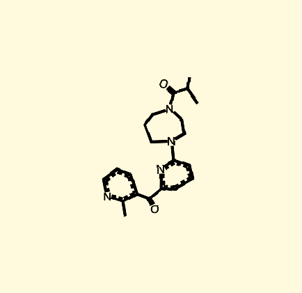 Cc1ncccc1C(=O)c1cccc(N2CCCN(C(=O)C(C)C)CC2)n1